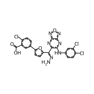 NN=C(c1ccc(-c2ccc(Cl)c(C(=O)O)c2)o1)c1nc2nonc2nc1Nc1ccc(Cl)c(Cl)c1